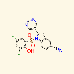 N#Cc1ccc2c(c1)cc(-c1cncnc1)n2S(=O)(=O)c1cc(F)cc(F)c1O